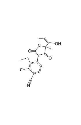 CCc1c(N2C(=O)N3CC=C(O)C3(C)C2=O)ccc(C#N)c1Cl